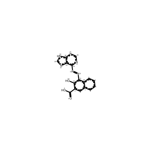 O=C(O)c1cc2ccccc2c(/N=N/c2ncnc3[nH]cnc23)c1O